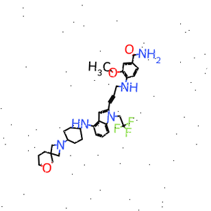 COc1cc(C(N)=O)ccc1NCC#Cc1cc2c(N[C@H]3CC[C@H](N4CC5(CCCOC5)C4)CC3)cccc2n1CC(F)(F)F